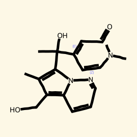 Cc1c(CO)c2cccnn2c1C(C)(O)C(/C=C\N(C)C)=C/C=O